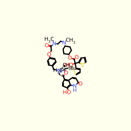 CN(CCN(C)[C@H]1CC[C@H](OC(=O)C(O)(c2cccs2)c2cccs2)CC1)C(=O)COc1ccc(CNC[C@H](O[Si](C)(C)C(C)(C)C)c2ccc(O)c3[nH]c(=O)ccc23)cc1